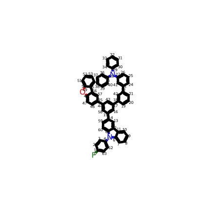 Fc1ccc(-n2c3ccccc3c3cc(-c4cc(-c5cccc(-c6cccc(N(c7ccccc7)c7ccccc7)c6)c5)cc(-c5ccc6oc7ccccc7c6c5)c4)ccc32)cc1